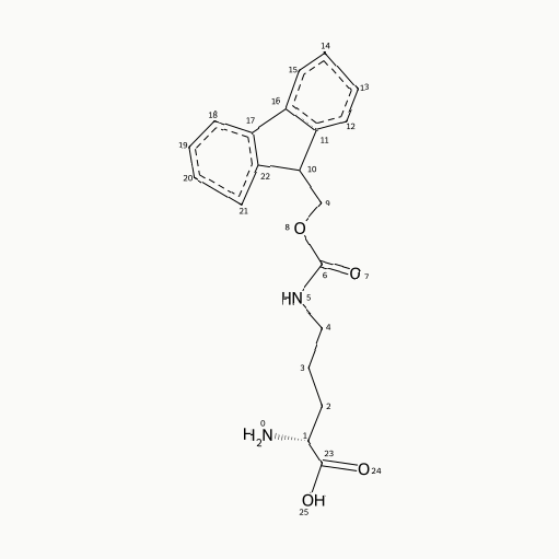 N[C@H](CCCNC(=O)OCC1c2ccccc2-c2ccccc21)C(=O)O